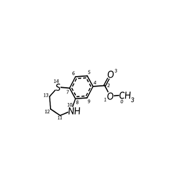 COC(=O)c1ccc2c(c1)NCCCS2